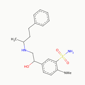 CNc1ccc(C(O)CNC(C)CCc2ccccc2)cc1S(N)(=O)=O